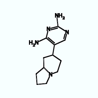 Nc1ncc(C2CCN3CCCC3C2)c(N)n1